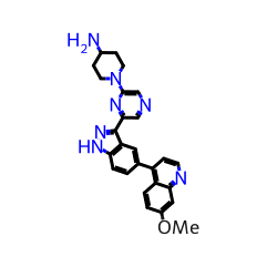 COc1ccc2c(-c3ccc4[nH]nc(-c5cncc(N6CCC(N)CC6)n5)c4c3)ccnc2c1